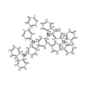 c1ccc(-c2cccc(-n3c4cc(-n5c6ccccc6c6ccccc65)ccc4c4ccc(-n5c6ccccc6c6ccc([Si](c7ccccc7)(c7ccccc7)c7ccccc7)cc65)cc43)c2)cc1